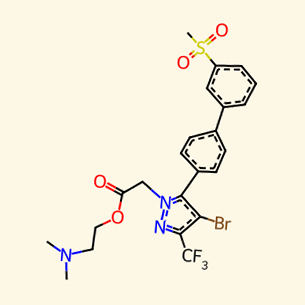 CN(C)CCOC(=O)Cn1nc(C(F)(F)F)c(Br)c1-c1ccc(-c2cccc(S(C)(=O)=O)c2)cc1